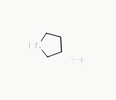 B[C@H]1CCNC1